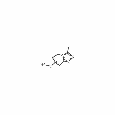 Cc1nnc2n1CCN(SS)C2